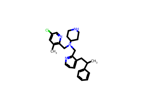 Cc1cc(Cl)cnc1CN(Cc1ncccc1CC(C)c1ccccc1)C1CCNCC1